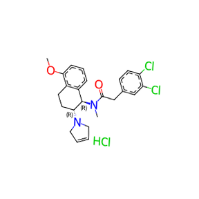 COc1cccc2c1CC[C@@H](N1CC=CC1)[C@@H]2N(C)C(=O)Cc1ccc(Cl)c(Cl)c1.Cl